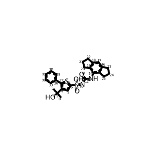 CC(C)(O)c1cc(S(=O)(O)=NC(=O)Nc2c3c(cc4c2CCC4)CCC3)sc1-c1ccccc1